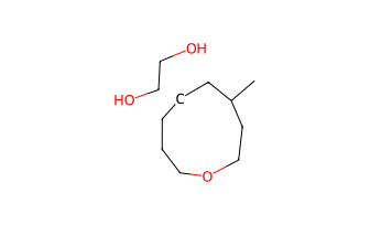 CC1CCCCCOCC1.OCCO